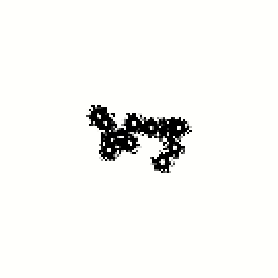 c1ccc(-c2cccc(-c3nc(-c4ccc(-c5cccc(-c6cc7c(-c8ccc9ccccc9c8)nc8ccccc8c7c7ccccc67)c5)cc4)nc4ccccc34)c2)cc1